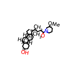 CO[C@H]1CCCN(C(=O)CC[C@@H](C)[C@H]2CC[C@H]3[C@@H]4CC=C5C[C@@H](O)CC[C@]5(C)[C@H]4CC[C@]23C)C1